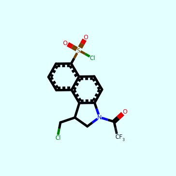 O=C(N1CC(CCl)c2c1ccc1c(S(=O)(=O)Cl)cccc21)C(F)(F)F